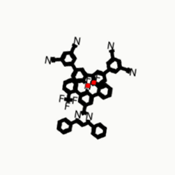 N#Cc1cc(C#N)cc(-c2ccc3c(c2)c2cc(-c4cc(C#N)cc(C#N)c4)ccc2n3-c2c(-c3ccccc3C(F)(F)F)cc(-c3nc(-c4ccccc4)cc(-c4ccccc4)n3)cc2-c2ccccc2C(F)(F)F)c1